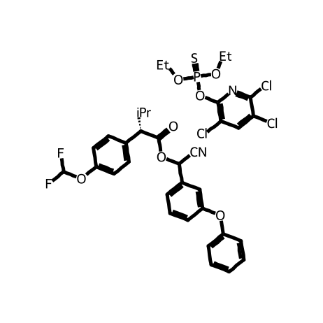 CC(C)[C@H](C(=O)OC(C#N)c1cccc(Oc2ccccc2)c1)c1ccc(OC(F)F)cc1.CCOP(=S)(OCC)Oc1nc(Cl)c(Cl)cc1Cl